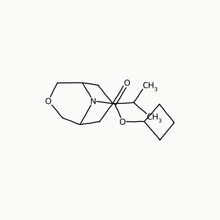 CC(C)C1CC2COCC(C1)N2C(=O)OC1CCC1